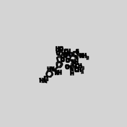 CC1(C)NC(=O)[C@H]1NC(=O)/C(=N\O[C@](C)(C(=O)O)[C@H]1CCc2cc(C(=N)NC3CCC4(CC3)CNC4)ccc2O1)c1csc(N)n1